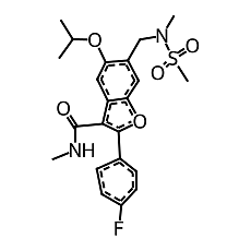 CNC(=O)c1c(-c2ccc(F)cc2)oc2cc(CN(C)S(C)(=O)=O)c(OC(C)C)cc12